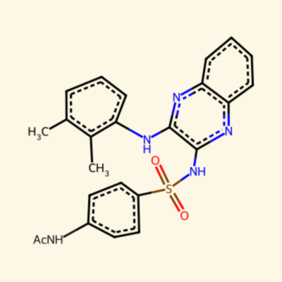 CC(=O)Nc1ccc(S(=O)(=O)Nc2nc3ccccc3nc2Nc2cccc(C)c2C)cc1